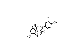 N#Cc1ccc(N2C[C@H]3[C@@H]4C[C@H]([C@H]3S2(=O)=O)[C@H](O)C4)cc1CF